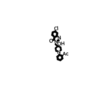 CC(=O)c1ccccc1N1CCC(O)(Cn2cnc3cc(Cl)ccc3c2=O)CC1